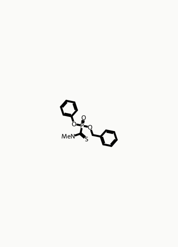 CNC(=S)P(=O)(OCc1ccccc1)Oc1ccccc1